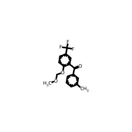 COCOc1ccc(C(F)(F)F)cc1C(=O)c1cccc(C)c1